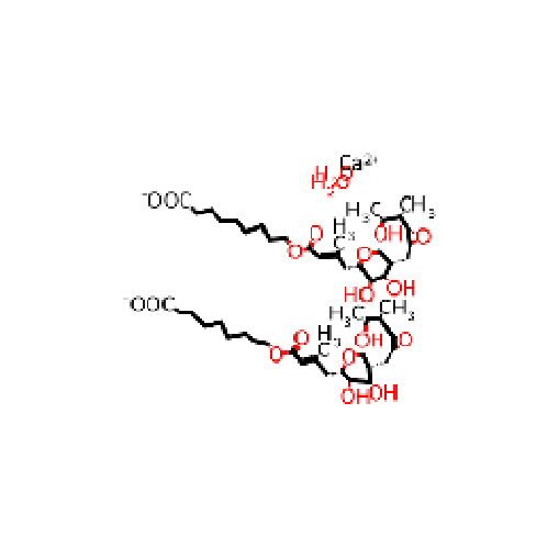 C/C(=C\C(=O)OCCCCCCCCC(=O)[O-])C[C@@H]1OC[C@H](C[C@@H]2O[C@H]2[C@@H](C)[C@H](C)O)[C@@H](O)[C@H]1O.C/C(=C\C(=O)OCCCCCCCCC(=O)[O-])C[C@@H]1OC[C@H](C[C@@H]2O[C@H]2[C@@H](C)[C@H](C)O)[C@@H](O)[C@H]1O.O.O.[Ca+2]